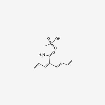 C=CC=CC(=CC=C)C(N)=O.CS(=O)(=O)O